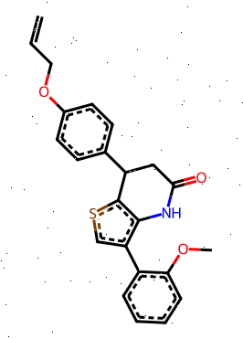 C=CCOc1ccc(C2CC(=O)Nc3c(-c4ccccc4OC)csc32)cc1